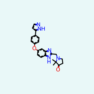 CC1(C)C(=O)CCN1Cc1nc2cc(Oc3ccc(-c4ccn[nH]4)cc3)ccc2[nH]1